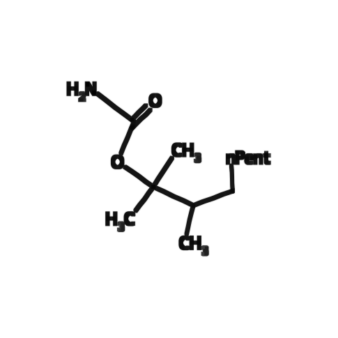 CCCCCCC(C)C(C)(C)OC(N)=O